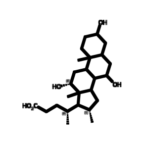 C[C@H](CCC(=O)O)C1[C@@H](C)CC2C3C(O)CC4CC(O)CCC4(C)C3C[C@@H](O)C21C